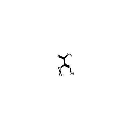 NC(=O)C(=NO)NO